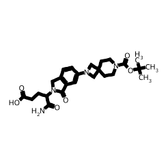 CC(C)(C)OC(=O)N1CCC2(CC1)CN(c1ccc3c(c1)C(=O)N(C(CCC(=O)O)C(N)=O)C3)C2